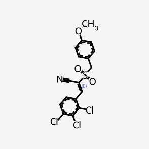 COc1ccc(CS(=O)(=O)/C(C#N)=C/c2ccc(Cl)c(Cl)c2Cl)cc1